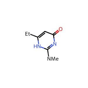 CCc1cc(=O)nc(NC)[nH]1